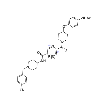 C=C(/C=N\C(=C/C)C(=O)N1CCC(Oc2ccc(NC(C)=O)cc2)CC1)C(=O)NC1CCN(Cc2ccc(C#N)cc2)CC1